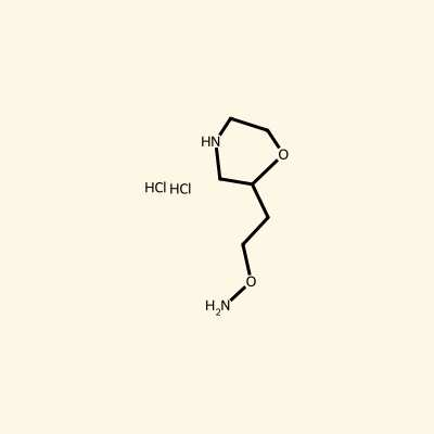 Cl.Cl.NOCCC1CNCCO1